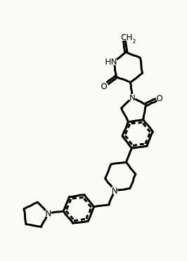 C=C1CCC(N2Cc3cc(C4CCN(Cc5ccc(N6CCCC6)cc5)CC4)ccc3C2=O)C(=O)N1